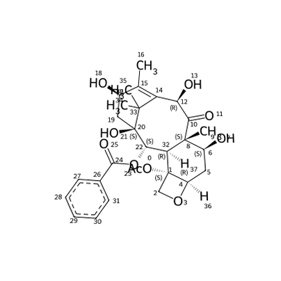 CC(=O)O[C@@]12CO[C@@H]1C[C@H](O)[C@@]1(C)C(=O)[C@H](O)C3=C(C)[C@H](O)C[C@@](O)([C@@H](OC(=O)c4ccccc4)[C@H]21)C3(C)C